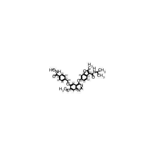 COc1cc2ncnc(Oc3ccc4c(C(=O)NC(C)C)c(C)oc4c3)c2cc1OCc1ccc(C(=O)NO)cc1